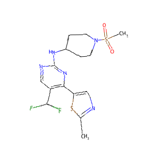 Cc1ncc(-c2nc(NC3CCN(S(C)(=O)=O)CC3)ncc2C(F)F)s1